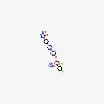 CCCn1ncn(-c2ccc(N3CCN(c4ncc(OC[C@@H]5CO[C@@](Cn6cnnn6)(c6ccc(Cl)cc6Cl)O5)cn4)CC3)cc2)c1=O